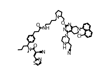 CCCC(c1ccc(CCC(=O)NCCCCN2CCCC2COc2nc3c(c(N4CCNC(CC#N)C4)n2)CCN(c2cccc4cccc(Cl)c24)C3)cc1)N(C)C(=O)/C(C#N)=C/c1nccs1